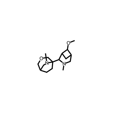 COC1C2CC1C(C13CCC(COC1)CN3C)N(C)C2